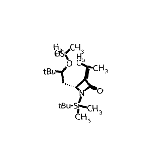 CC(C)=C1C(=O)N([Si](C)(C)C(C)(C)C)[C@@H]1CC(O[SiH](C)C)C(C)(C)C